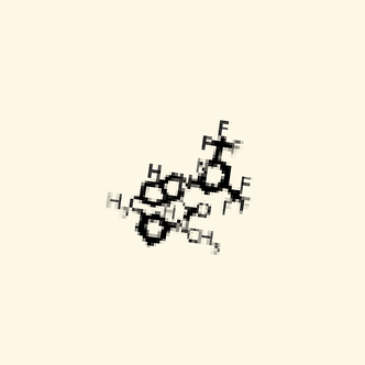 Cc1cccc(N(C)C(=O)[C@@H]2[C@H]3CCC[C@H]3CN2c2cc(C(F)(F)F)cc(C(F)(F)F)n2)c1